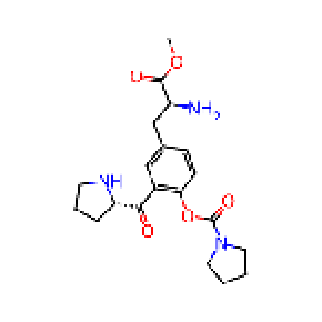 COC(=O)[C@@H](N)Cc1ccc(OC(=O)N2CCCC2)c(C(=O)[C@@H]2CCCN2)c1